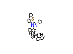 CC1(C)c2c(cccc2-c2ccc(-c3nc(-c4ccccc4)cc(-c4cccc5c4sc4ccccc45)n3)c3ccccc23)-c2ccc3ccccc3c21